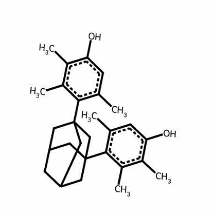 Cc1cc(O)c(C)c(C)c1C12CC3CC(C1)CC(c1c(C)cc(O)c(C)c1C)(C3)C2